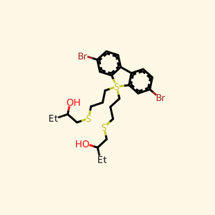 CCC(O)CSCCCS1(CCCSCC(O)CC)c2cc(Br)ccc2-c2ccc(Br)cc21